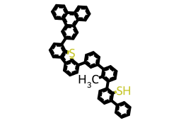 Cc1c(-c2cccc(-c3cccc4c3sc3c(-c5ccc6c7ccccc7c7ccccc7c6c5)cccc34)c2)cccc1-c1cccc(-c2ccccc2)c1S